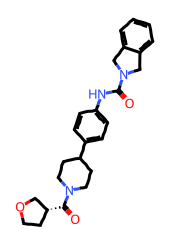 O=C(Nc1ccc(C2CCN(C(=O)[C@@H]3CCOC3)CC2)cc1)N1Cc2ccccc2C1